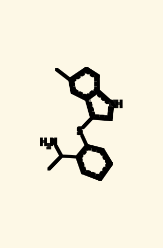 Cc1ccc2[nH]cc(Sc3ccccc3C(C)N)c2c1